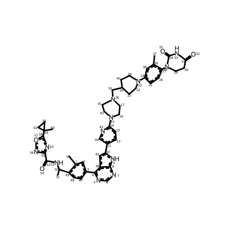 Cc1cc(-c2ncnc3[nH]c(-c4ccc(N5CCN(CC6CCN(c7ccc(N8CCC(=O)NC8=O)c(C)c7)CC6)CC5)nc4)cc23)ccc1C(C)NC(=O)c1noc(C2(C)CC2)n1